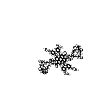 CC(C)(C)c1ccc(Oc2cc3c4c(cc(Oc5ccc(C(C)(C)C)cc5)c5c6c(Oc7ccc(C(C)(C)C)cc7)cc7c8c(cc(Oc9ccc(C(C)(C)C)cc9)c(c2c45)c86)C(=O)N(CC(=O)N(CCCC(=O)OCC2CO2)CCCC(=O)OCC2CO2)C7=O)C(=O)N(CC(=O)N(CCCC(=O)OCC2CO2)CCCC(=O)OCC2CO2)C3=O)cc1